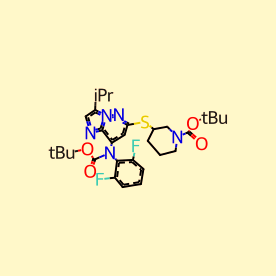 CC(C)c1cnc2c(N(C(=O)OC(C)(C)C)c3c(F)cccc3F)cc(SC3CCCN(C(=O)OC(C)(C)C)C3)nn12